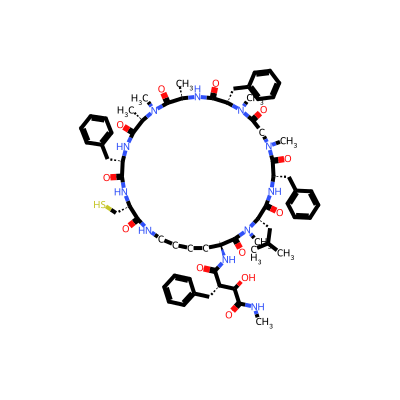 CNC(=O)C(O)[C@H](Cc1ccccc1)C(=O)N[C@H]1CCCCNC(=O)[C@H](CS)NC(=O)[C@H](Cc2ccccc2)NC(=O)[C@H](C)N(C)C(=O)[C@H](C)NC(=O)[C@H](Cc2ccccc2)N(C)C(=O)CN(C)C(=O)[C@H](Cc2ccccc2)NC(=O)[C@H](CC(C)C)N(C)C1=O